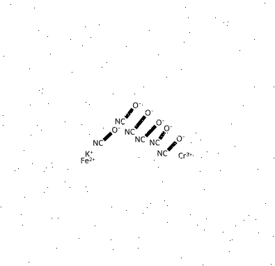 N#C[O-].N#C[O-].N#C[O-].N#C[O-].N#C[O-].N#C[O-].[Cr+3].[Fe+2].[K+]